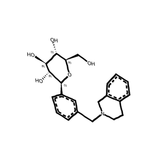 OC[C@H]1O[C@@H](c2cccc(CN3CCc4ccccc4C3)c2)[C@H](O)[C@@H](O)[C@@H]1O